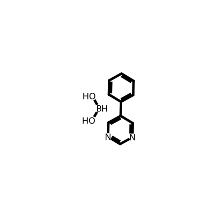 OBO.c1ccc(-c2cncnc2)cc1